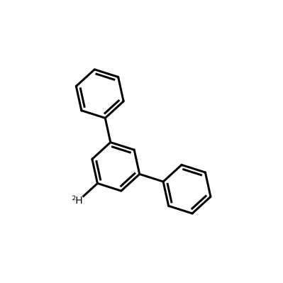 [2H]c1cc(-c2ccccc2)cc(-c2ccccc2)c1